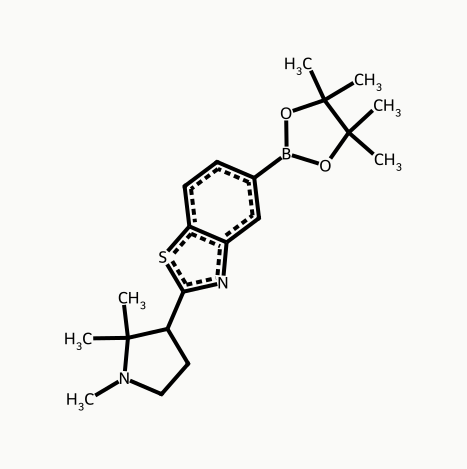 CN1CCC(c2nc3cc(B4OC(C)(C)C(C)(C)O4)ccc3s2)C1(C)C